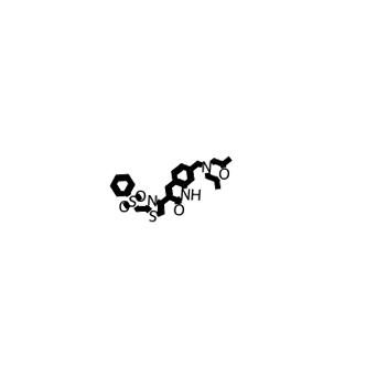 CC1CN(Cc2ccc3cc(-c4csc(CS(=O)(=O)c5ccccc5)n4)c(=O)[nH]c3c2)CC(C)O1